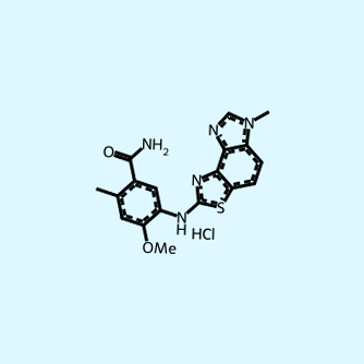 COc1cc(C)c(C(N)=O)cc1Nc1nc2c(ccc3c2ncn3C)s1.Cl